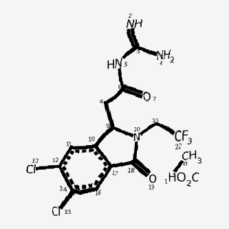 CC(=O)O.N=C(N)NC(=O)CC1c2cc(Cl)c(Cl)cc2C(=O)N1CC(F)(F)F